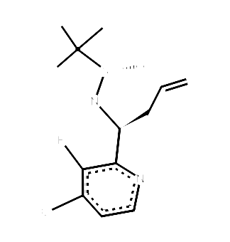 C=CC[C@H](N[S@@+]([O-])C(C)(C)C)c1nccc(Cl)c1F